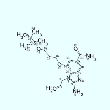 C=CCn1c(N)nc2cc(C(N)=O)cc(OCCCO[Si](C)(C)C(C)C)c21